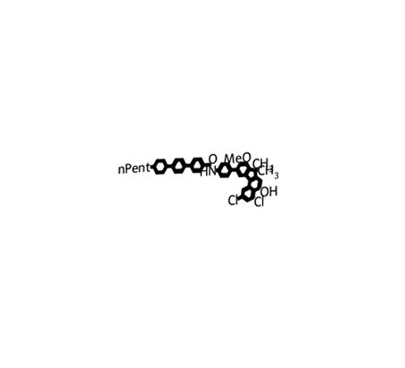 CCCCCC1CCC(c2ccc(-c3ccc(C(=O)Nc4ccc(-c5cc6c(cc5OC)C(C)(C)c5cc(O)c7c(Cl)cc(Cl)cc7c5-6)cc4)cc3)cc2)CC1